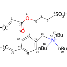 C=CC(=O)OCCCS(=O)(=O)O.C=Cc1ccc(C[N+](CCCC)(CCCC)CCCC)cc1